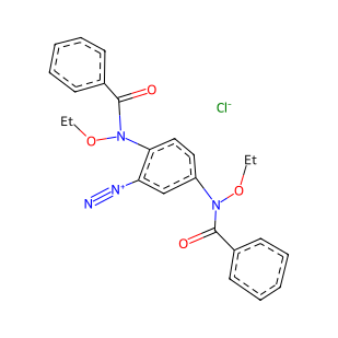 CCON(C(=O)c1ccccc1)c1ccc(N(OCC)C(=O)c2ccccc2)c([N+]#N)c1.[Cl-]